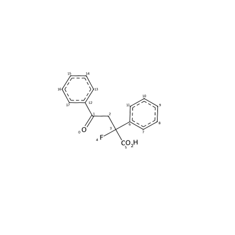 O=C(CC(F)(C(=O)O)c1ccccc1)c1ccccc1